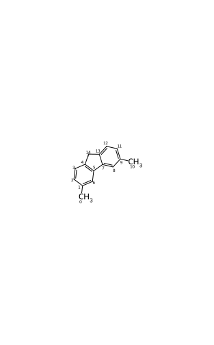 Cc1ccc2c(c1)-c1cc(C)ccc1[CH]2